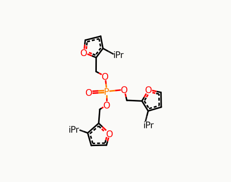 CC(C)c1ccoc1COP(=O)(OCc1occc1C(C)C)OCc1occc1C(C)C